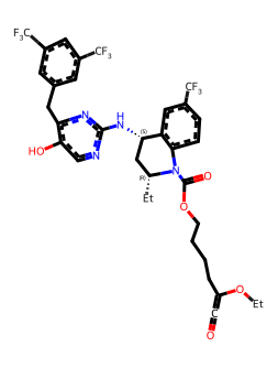 CCOC(=C=O)CCCCOC(=O)N1c2ccc(C(F)(F)F)cc2[C@@H](Nc2ncc(O)c(Cc3cc(C(F)(F)F)cc(C(F)(F)F)c3)n2)C[C@H]1CC